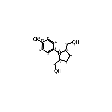 OCC1CCC(CO)N1c1ccc(Cl)cc1